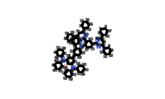 c1ccc(-c2cc(-c3ccccc3)nc(-c3ccc(-n4c5ccccc5c5cc(-c6cc7c8c(c6)N(c6ccccc6)c6ccccc6B8c6ccccc6N7c6ccccc6)ccc54)c(-c4nc(-c5ccccc5)cc(-c5ccccc5)n4)c3)n2)cc1